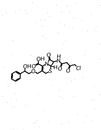 O=C(CCl)CC(=O)NC1C(=O)N2C(C(=O)O)=C(COCC(O)c3ccccc3)CS[C@@H]12